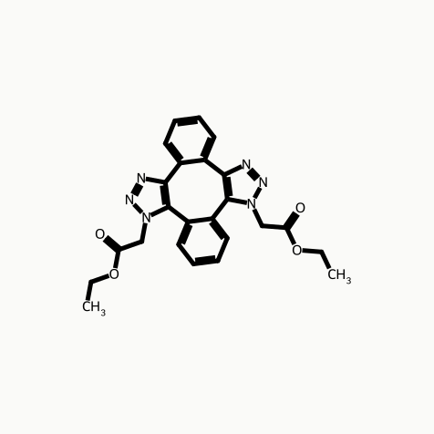 CCOC(=O)Cn1nnc2c1-c1ccccc1-c1c(nnn1CC(=O)OCC)-c1ccccc1-2